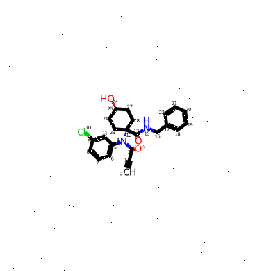 C#CC(=O)N(c1cccc(Cl)c1)[C@]1(C(=O)NCc2ccccc2)CC[C@@H](O)CC1